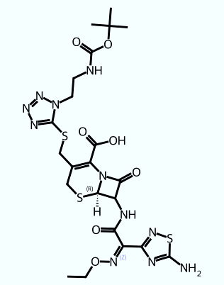 CCO/N=C(\C(=O)NC1C(=O)N2C(C(=O)O)=C(CSc3nnnn3CCNC(=O)OC(C)(C)C)CS[C@H]12)c1nsc(N)n1